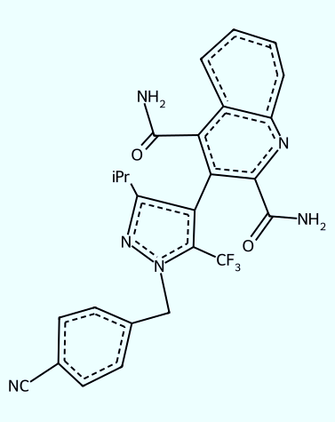 CC(C)c1nn(Cc2ccc(C#N)cc2)c(C(F)(F)F)c1-c1c(C(N)=O)nc2ccccc2c1C(N)=O